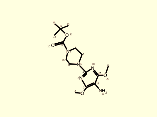 COc1nc(N2CCN(C(=O)OC(C)(C)C)CC2)nc(OC)c1N